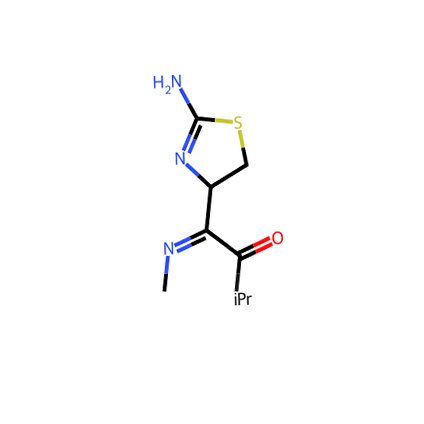 C/N=C(\C(=O)C(C)C)C1CSC(N)=N1